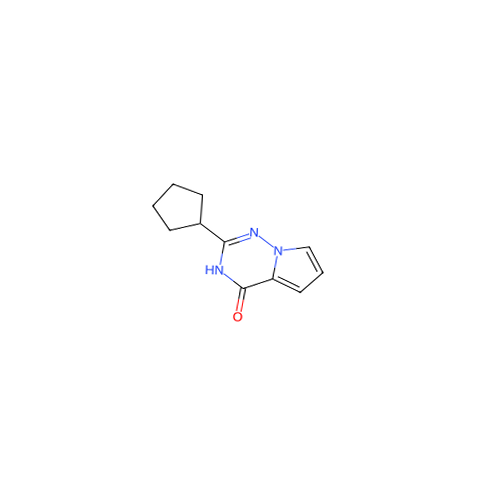 O=c1[nH]c(C2CCCC2)nn2cccc12